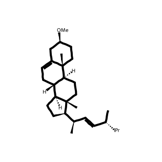 CO[C@H]1CC[C@@]2(C)C(=CC[C@H]3[C@@H]4CC[C@H]([C@H](C)/C=C/[C@H](C)C(C)C)[C@@]4(C)CC[C@@H]32)C1